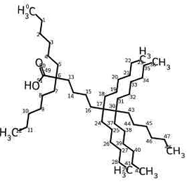 CCCCCCC(CCCCCC)(CCCCC(CCCCCC)(CCCCCC)C(CCCCCC)(CCCCCC)CCCCCC)C(=O)O